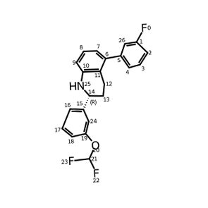 Fc1cccc(-c2cccc3c2CC[C@H](c2cccc(OC(F)F)c2)N3)c1